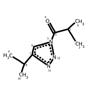 CC(C)C(=O)n1cc(C(C)C)nn1